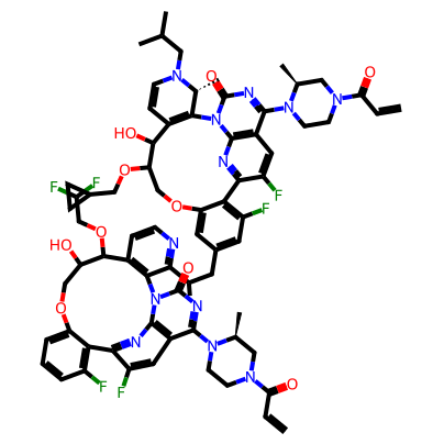 C=CC(=O)N1CCN(c2nc(=O)n3c4nc(c(F)cc24)-c2c(F)cc(CC(C)c4nccc5c4-n4c(=O)nc(N6CCN(C(=O)C=C)C[C@@H]6C)c6cc(F)c(nc64)-c4c(F)cccc4OCC(O)C5OCC(F)F)cc2OCC(OCC2CC2)C(O)C2=C3[C@@H](C)N(CC(C)C)C=C2)[C@@H](C)C1